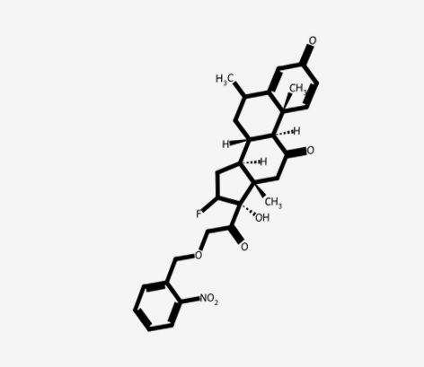 CC1C[C@@H]2[C@H](C(=O)C[C@@]3(C)[C@H]2CC(F)[C@]3(O)C(=O)COCc2ccccc2[N+](=O)[O-])[C@@]2(C)C=CC(=O)C=C12